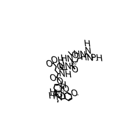 COc1ccc2c3c1O[C@H]1C(OC(=O)C(CCC(=O)O)NC(=O)CNC(=O)[C@H](CCCNC(=N)NPC)NC(C)=O)=CC[C@H]4[C@@H](C2)N(C)CC[C@]314